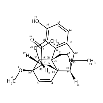 CO[C@]12C=C[C@@]3(C[C@H]1C(C)=O)[C@H]1Cc4ccc(O)c5c4[C@@]3(CCN1C)[C@H]2O5